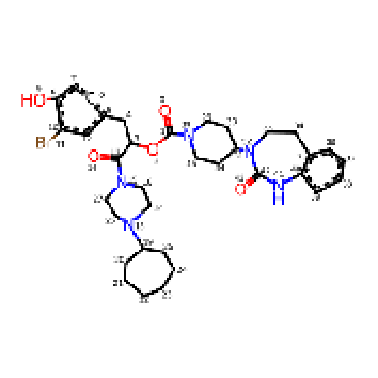 O=C(OC(Cc1ccc(O)c(Br)c1)C(=O)N1CCN(C2CCCCCC2)CC1)N1CCC(N2CCc3ccccc3NC2=O)CC1